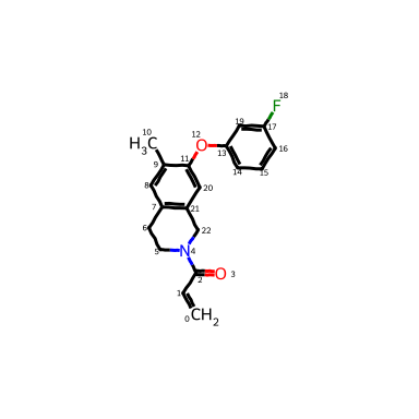 C=CC(=O)N1CCc2cc(C)c(Oc3cccc(F)c3)cc2C1